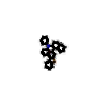 c1ccc(N(c2ccccc2)c2ccc3ccccc3c2-c2ccc3c(c2)sc2ccccc23)cc1